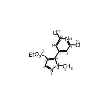 CCOC(=O)c1cnn(C)c1-c1cc(Cl)nc(Cl)c1